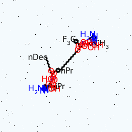 CCCCCCCCCCCCCCCCCCOC[C@H](COP(=O)(O)OC[C@H]1O[C@@](C#N)(c2ccc3c(N)ncnn23)[C@H](O)[C@@H]1OC(=O)C(C)C)OCc1ccc(C(CCC)CCCCCCCCCCCCCCOC[C@H](COP(=O)(O)OC[C@H]2O[C@@](C=NC)(c3ccc4c(N)ncnn34)[C@H](O)[C@@H]2O)OCc2ccc(C(F)(F)F)cc2)cc1